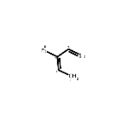 CC=C(C=S)CC